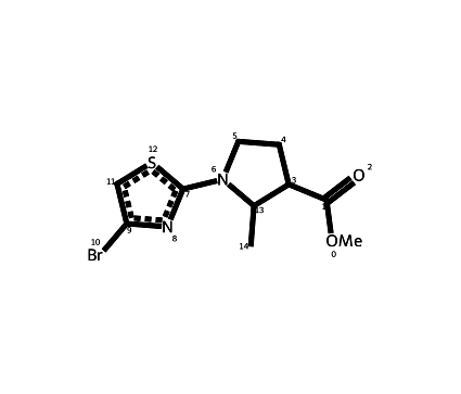 COC(=O)C1CCN(c2nc(Br)cs2)C1C